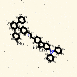 CCC1(CC)C2=C(CCC(/C=C/c3ccc(-c4c(-c5ccccc5)cccc4-c4ccc(C(C)(C)C)cc4)cc3)=C2)c2ccc(N(c3ccccc3)c3ccccc3)cc21